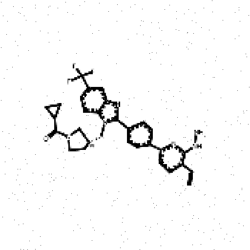 C=Cc1ccc(-c2ccc(-c3nc4cc(C(F)(F)F)ccc4n3C[C@@H]3CCN(C(=O)C4CC4)C3)cc2)nc1NN